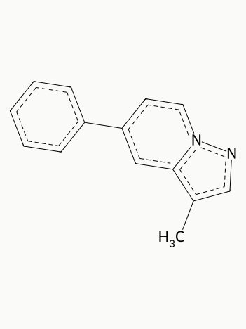 Cc1cnn2ccc(-c3ccccc3)cc12